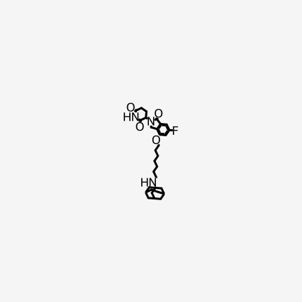 O=C1CCC(N2Cc3c(OCCCCCCCNC45CC6CC(CC(C6)C4)C5)cc(F)cc3C2=O)C(=O)N1